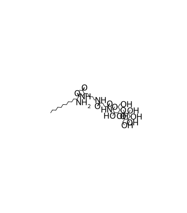 CCCCCCCCCCC(N)C(=O)NC(CCCCNC(=O)CCC(=O)N[C@@H]1OC(CO)[C@@H](O[C@@H]2OC(CO)[C@H](O)C(O)[C@@H]2O)[C@H](O)C1O)C(C)=O